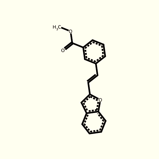 COC(=O)c1cccc(C=Cc2cc3ccccc3o2)c1